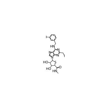 CNC(=O)C1SC(n2cnc3c(NCc4cccc(I)c4)nc(CI)nc32)C(O)C1O